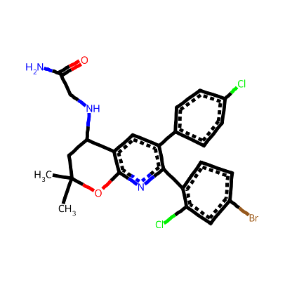 CC1(C)CC(NCC(N)=O)c2cc(-c3ccc(Cl)cc3)c(-c3ccc(Br)cc3Cl)nc2O1